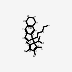 CCCCCC1(C2(C(C)C)C(C)=C(C)C(C)=C2C)C=Cc2cc3c(cc21)CCCC3